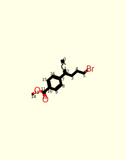 C=C=C(CCCBr)c1ccc(C(=O)OC)cc1